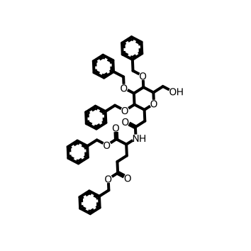 O=C(CC1OC(CO)C(OCc2ccccc2)C(OCc2ccccc2)C1OCc1ccccc1)NC(CCC(=O)OCc1ccccc1)C(=O)OCc1ccccc1